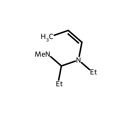 C/C=C\N(CC)C(CC)NC